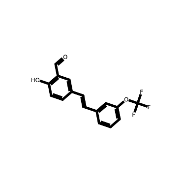 O=Cc1cc(/C=C/c2cccc(OC(F)(F)F)c2)ccc1O